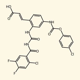 O=C(O)C=Cc1ccc(NC(=O)Oc2ccc(Cl)cc2)cc1NC(=O)NC(=O)c1cc(F)c(F)cc1Cl